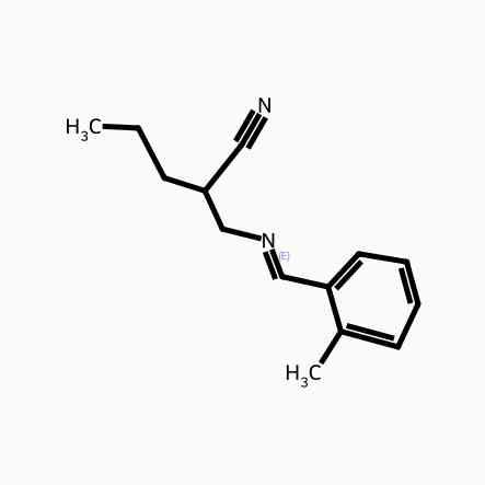 CCCC(C#N)C/N=C/c1ccccc1C